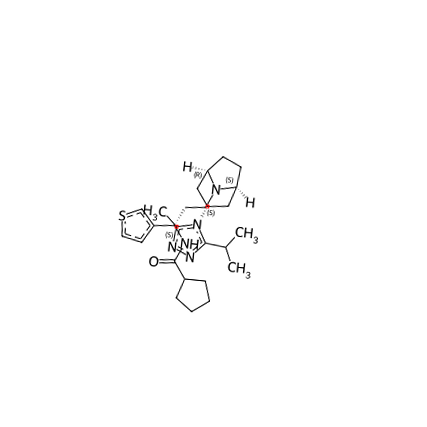 Cc1nnc(C(C)C)n1[C@@H]1C[C@H]2CC[C@@H](C1)N2CC[C@H](NC(=O)C1CCCC1)c1ccsc1